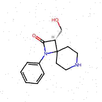 O=C1[C@H](CO)C2(CCNCC2)N1c1ccccc1